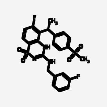 C[C@@H](c1ccc(S(C)(=O)=O)cc1)c1c(F)ccc2c1NC(NCc1cccc(F)c1)=NS2(=O)=O